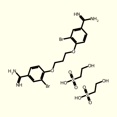 N=C(N)c1ccc(OCCCOc2ccc(C(=N)N)cc2Br)c(Br)c1.O=S(=O)(O)CCO.O=S(=O)(O)CCO